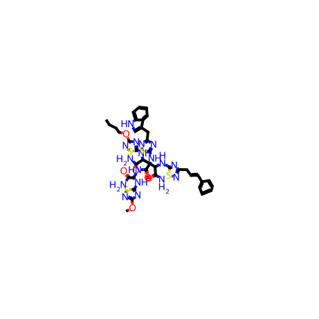 CCCCOc1nsc(NC(C(N)=O)C(Nc2nc(Cc3c[nH]c4ccccc34)ns2)(C(=O)NC(Nc2nc(OC)ns2)C(N)=O)C(Nc2nc(CC=Cc3ccccc3)ns2)C(N)=O)n1